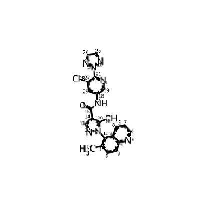 Cc1ccc2ncccc2c1-n1ncc(C(=O)Nc2cnc(-n3nccn3)c(Cl)c2)c1C